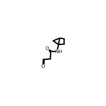 O=CCC(=O)NC12CCC1C2